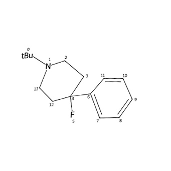 CC(C)(C)N1CCC(F)(c2ccccc2)CC1